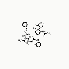 CC(=O)Nc1cccc(Cl)c1C(C=O)C(=O)O.CC(C)[C@H](NC(=O)OCc1ccccc1)C(=O)N[C@@H](Cc1ccccc1)C(=O)O